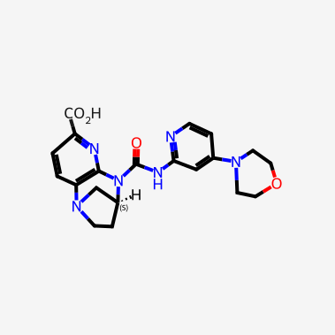 O=C(O)c1ccc2c(n1)N(C(=O)Nc1cc(N3CCOCC3)ccn1)[C@H]1CCN2C1